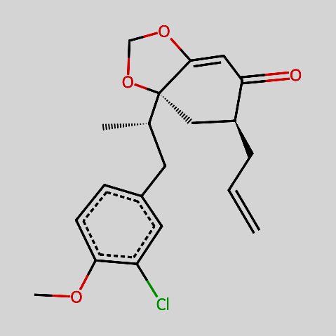 C=CC[C@H]1C[C@]2([C@@H](C)Cc3ccc(OC)c(Cl)c3)OCOC2=CC1=O